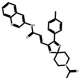 CC(=O)N1CCC2(CC1)N=C(C=CC(=O)Nc1cnc3ccccc3c1)C(c1ccc(C)cc1)=N2